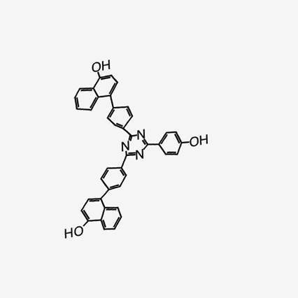 Oc1ccc(-c2nc(-c3ccc(-c4ccc(O)c5ccccc45)cc3)nc(-c3ccc(-c4ccc(O)c5ccccc45)cc3)n2)cc1